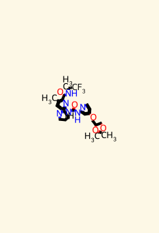 Cc1cc2c(nc1C(=O)NC(C)C(F)(F)F)N(C(=O)Nc1cc(OCC3COC(C)(C)O3)ccn1)[C@H]1CCN2C1